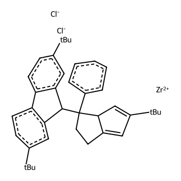 CC(C)(C)C1=CC2C(=C1)CCC2(c1ccccc1)C1c2cc(C(C)(C)C)ccc2-c2ccc(C(C)(C)C)cc21.[Cl-].[Cl-].[Zr+2]